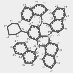 c1ccc2c(N3c4cc(C5CCCCC5)cc5c4B(c4ccc6ccccc6c43)c3ccc4ccccc4c3N5c3cccc4ccccc34)cccc2c1